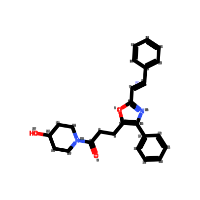 O=C(CCc1oc(/C=C/c2ccccc2)nc1-c1ccccc1)N1CCC(O)CC1